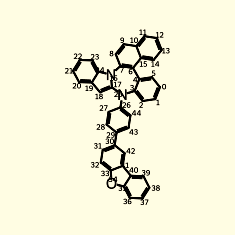 c1ccc2c(c1)-c1c(ccc3ccccc13)-n1c(cc3ccccc31)N2c1ccc(-c2ccc3oc4ccccc4c3c2)cc1